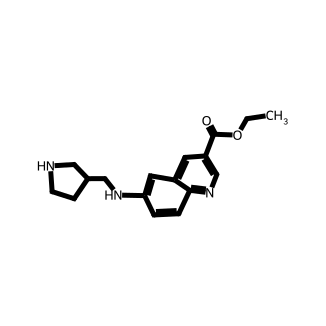 CCOC(=O)c1cnc2ccc(NCC3CCNC3)cc2c1